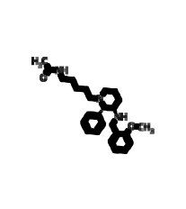 COc1ccccc1CN[C@H]1CCCN(CCCCCNC(C)=O)[C@H]1c1ccccc1